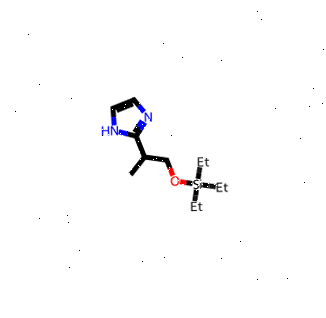 CC[Si](CC)(CC)OCC(C)c1ncc[nH]1